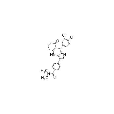 CN(C)C(=O)c1ccc(-c2cnn3c2NC2=C(C(=O)CCC2)C3c2ccc(Cl)c(Cl)c2)cc1